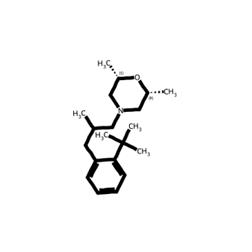 CC(Cc1ccccc1C(C)(C)C)CN1C[C@@H](C)O[C@@H](C)C1